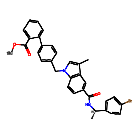 Cc1cn(Cc2ccc(-c3ccccc3C(=O)OC(C)(C)C)cc2)c2ccc(C(=O)N[C@@H](C)c3ccc(Br)cc3)cc12